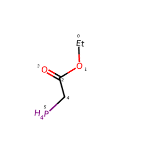 CCOC(=O)C[PH4]